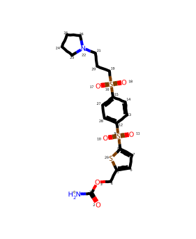 NC(=O)OCc1ccc(S(=O)(=O)c2ccc(S(=O)(=O)CCCN3CCCC3)cc2)s1